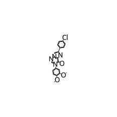 COc1ccc(-n2cnn3cc(-c4ccc(Cl)cc4)nc3c2=O)cc1OC